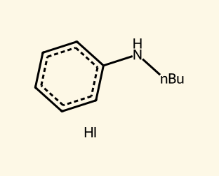 CCCCNc1ccccc1.I